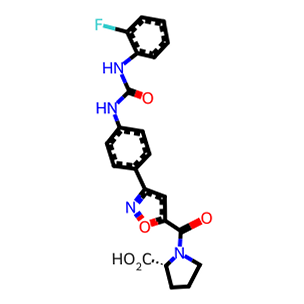 O=C(Nc1ccc(-c2cc(C(=O)N3CCC[C@@H]3C(=O)O)on2)cc1)Nc1ccccc1F